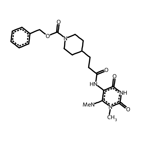 CNc1c(NC(=O)CCC2CCN(C(=O)OCc3ccccc3)CC2)c(=O)[nH]c(=O)n1C